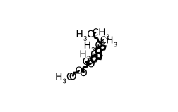 COCCOC(=O)CCC(=O)O[C@H]1CC[C@@]2(C)C(=CC=C3C4CCC([C@H](C)CCCC(C)C)[C@@]4(C)CCC32)C1